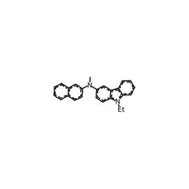 CCn1c2ccccc2c2cc(N(C)c3ccc4ccccc4c3)ccc21